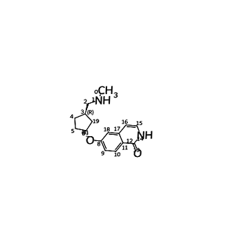 CNC[C@@H]1CC[C@@H](Oc2ccc3c(=O)[nH]ccc3c2)C1